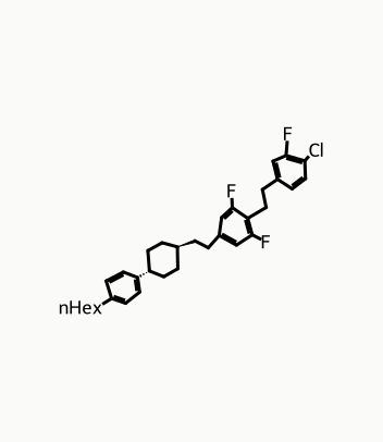 CCCCCCc1ccc([C@H]2CC[C@H](CCc3cc(F)c(CCc4ccc(Cl)c(F)c4)c(F)c3)CC2)cc1